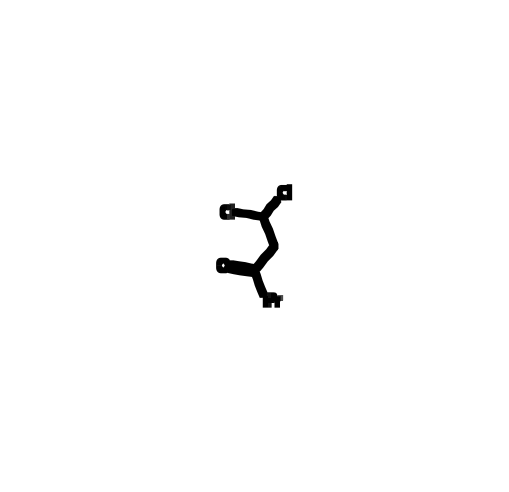 CC(C)C(=O)CC(Cl)Cl